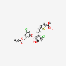 CC(=O)OCc1cc(Cl)cc(OC[C@@H]2[C@@H](CCCc3ccc(C(=O)O)s3)[C@H](Cl)C[C@H]2O)c1